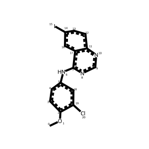 COc1ccc(Nc2ncnc3ccc(I)cc23)cc1Cl